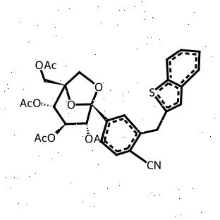 CC(=O)OC[C@@]12CO[C@@](c3ccc(C#N)c(Cc4cc5ccccc5s4)c3)(O1)[C@H](OC(C)=O)[C@@H](OC(C)=O)[C@@H]2OC(C)=O